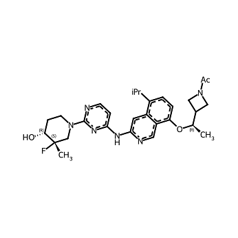 CC(=O)N1CC([C@@H](C)Oc2ccc(C(C)C)c3cc(Nc4ccnc(N5CC[C@@H](O)[C@@](C)(F)C5)n4)ncc23)C1